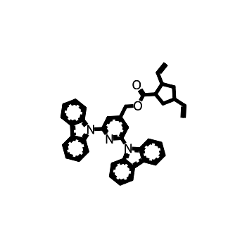 C=CC1CC(C=C)C(C(=O)OCc2cc(-n3c4ccccc4c4ccccc43)nc(-n3c4ccccc4c4ccccc43)c2)C1